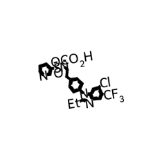 CCc1nc2cc(C(F)(F)F)c(Cl)cc2n1-c1ccc(CCN(C(=O)O)S(=O)(=O)c2cccnc2)cc1